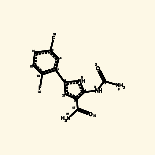 NC(=O)Nc1[nH]c(-c2cc(F)ccc2F)cc1C(N)=O